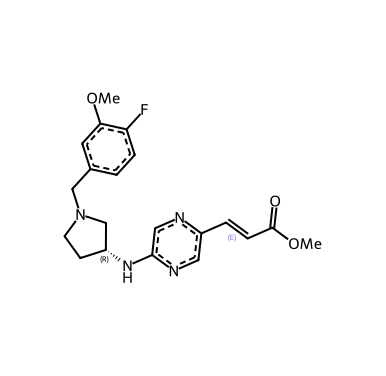 COC(=O)/C=C/c1cnc(N[C@@H]2CCN(Cc3ccc(F)c(OC)c3)C2)cn1